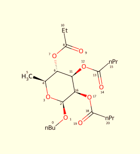 CCCCO[C@H]1O[C@@H](C)[C@H](OC(=O)CC)[C@@H](OC(=O)CCC)[C@H]1OC(=O)CCC